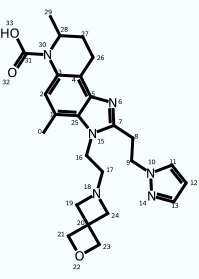 Cc1cc2c(c3nc(CCn4cccn4)n(CCN4CC5(COC5)C4)c13)CCC(C)N2C(=O)O